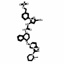 C[C@H]1CCCCN1c1nnc2n1CN(O[C@@H]1CC[C@H](NC(=O)Nc3cc(C(C)(C)C)nn3-c3cccc(COS(C)(=O)=O)c3)c3ccccc31)C=C2